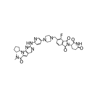 CN(C)C(=O)c1cc2cnc(Nc3ccc(N4CCN(Cc5ccc6c(c5F)C(=O)N(C5CCC(=O)NC5=O)C6=O)CC4)cn3)nc2n1C1CCCC1